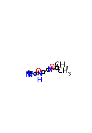 Cc1cc(C)cc(CC(=O)N2CCC(c3ccc(NC(=O)[C@H]4CCN(c5cccnn5)C4)cc3)CC2)c1